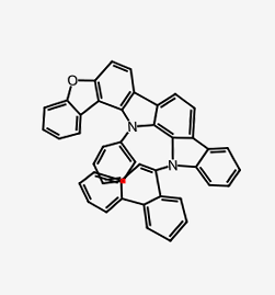 c1ccc(-n2c3c(ccc4oc5ccccc5c43)c3ccc4c5ccccc5n(-c5cc6ccccc6c6ccccc56)c4c32)cc1